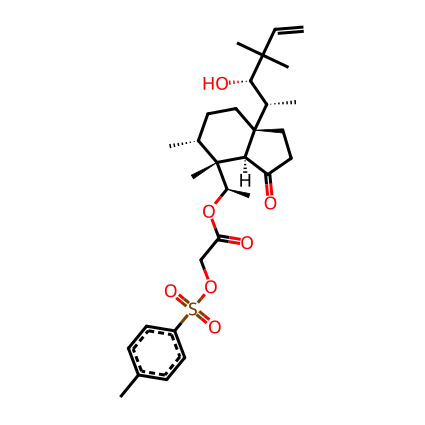 C=CC(C)(C)[C@@H](O)[C@H](C)[C@]12CCC(=O)[C@H]1[C@](C)([C@@H](C)OC(=O)COS(=O)(=O)c1ccc(C)cc1)[C@H](C)CC2